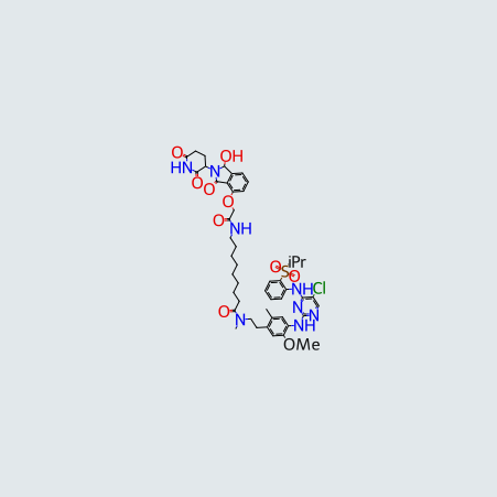 COc1cc(CCN(C)C(=O)CCCCCCCCNC(=O)COc2cccc3c2C(=O)N(C2CCC(=O)NC2=O)C3O)c(C)cc1Nc1ncc(Cl)c(Nc2ccccc2S(=O)(=O)C(C)C)n1